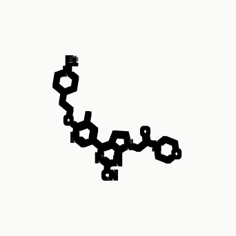 CCN1CCC(CCOc2ncc(-c3nc(C#N)nc4c3ccn4CC(=O)N3CCOCC3)cc2C)CC1